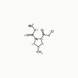 CC1CC(C(=O)CCl)N(C(=O)OC(C)(C)C)C1